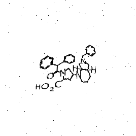 O=C(O)[C@@H]1C[C@H](N2CCC[C@@H]3CN(Cc4ccccc4)C[C@@H]32)CN1C(=O)C(c1ccccc1)c1ccccc1